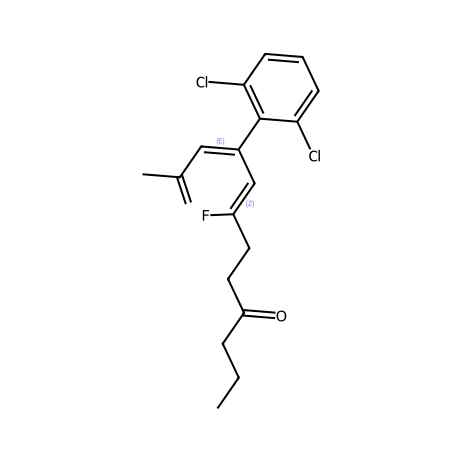 C=C(C)/C=C(\C=C(/F)CCC(=O)CCC)c1c(Cl)cccc1Cl